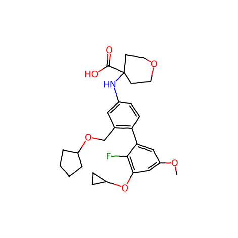 COc1cc(OC2CC2)c(F)c(-c2ccc(NC3(C(=O)O)CCOCC3)cc2COC2CCCC2)c1